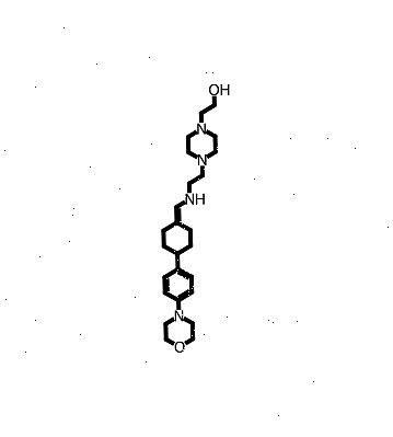 OCCN1CCN(CCNC=C2CCC(c3ccc(N4CCOCC4)cc3)CC2)CC1